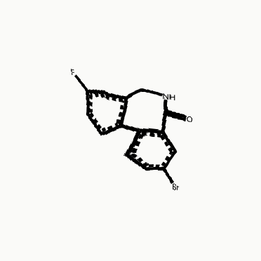 O=C1NCc2cc(F)ccc2-c2ccc(Br)cc21